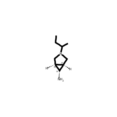 CCC(C)N1C[C@@H]2[C@@H](N)[C@@H]2C1